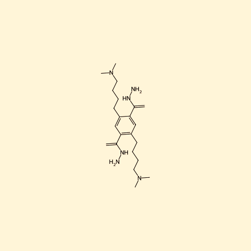 C=C(NN)c1cc(CCCCN(C)C)c(C(=C)NN)cc1CCCCN(C)C